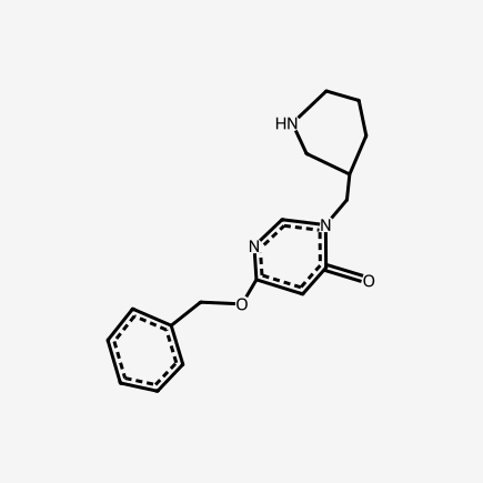 O=c1cc(OCc2ccccc2)ncn1CC1CCCNC1